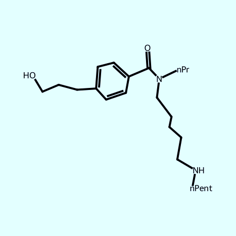 CCCCCNCCCCCN(CCC)C(=O)c1ccc(CCCO)cc1